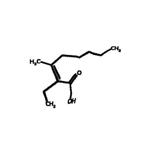 CCCCCC(C)=C(CC)C(=O)O